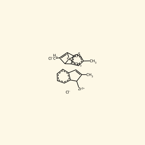 CC1=C2c3sc(C)cc3C1[Si]2(C)C.CC1=Cc2ccccc2[CH]1[Zr+2].[Cl-].[Cl-]